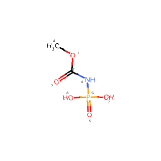 COC(=O)NP(=O)(O)O